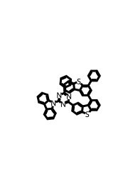 c1ccc(-c2nc(-c3ccc4sc5cccc(-c6cc(-c7ccccc7)c7sc8ccccc8c7c6)c5c4c3)nc(-n3c4ccccc4c4ccccc43)n2)cc1